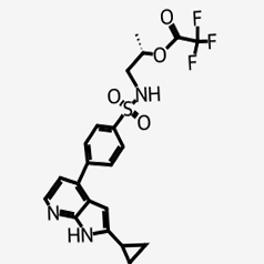 C[C@@H](CNS(=O)(=O)c1ccc(-c2ccnc3[nH]c(C4CC4)cc23)cc1)OC(=O)C(F)(F)F